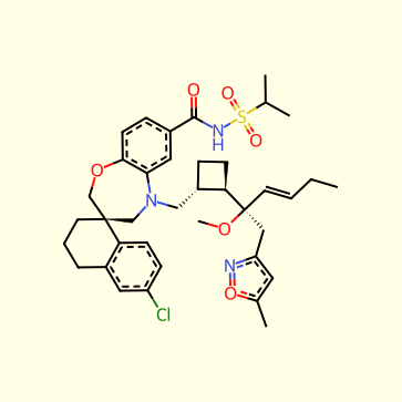 CC/C=C/[C@@](Cc1cc(C)on1)(OC)[C@@H]1CC[C@H]1CN1C[C@@]2(CCCc3cc(Cl)ccc32)COc2ccc(C(=O)NS(=O)(=O)C(C)C)cc21